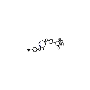 C=C1CC[C@@H](Oc2ccc(C3CC(=O)NS(=O)(=O)C3)cc2)C/C=C\C=C/1Oc1ccc(C#N)cc1